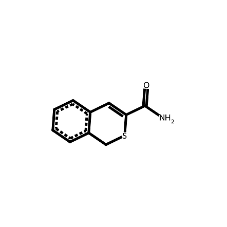 NC(=O)C1=Cc2ccccc2CS1